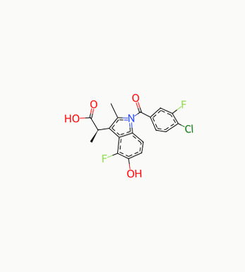 Cc1c([C@@H](C)C(=O)O)c2c(F)c(O)ccc2n1C(=O)c1ccc(Cl)c(F)c1